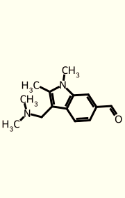 Cc1c(CN(C)C)c2ccc(C=O)cc2n1C